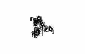 CC(Cc1ccccn1)NCc1cnc(-c2cc3cccc(N(C(C)C)S(=O)(=O)c4cccs4)c3[nH]2)s1.O=C(O)C(F)(F)F.O=C(O)C(F)(F)F